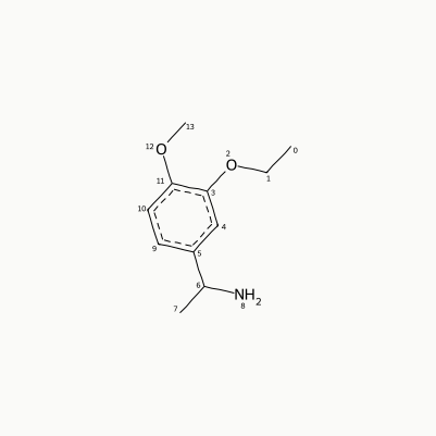 CCOc1cc(C(C)N)ccc1OC